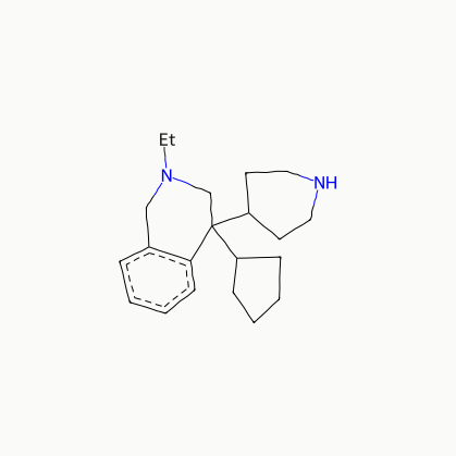 CCN1Cc2ccccc2C(C2CCCC2)(C2CCNCC2)C1